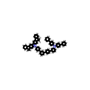 CC1(C)C2=C(C=CCC2)c2cc3c4cc5c(cc4n(-c4ccc(-c6cccc(-c7ccc(-c8cccc(N(c9ccc(C%10=CCCC=C%10)cc9)c9ccc(-c%10ccccc%10)cc9)c8)cc7)c6)cc4)c3cc21)C(C)(C)c1ccccc1-5